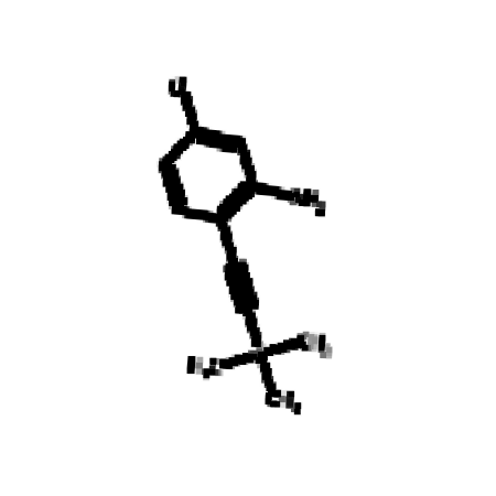 CS(C)(C)C#Cc1ccc(Cl)cc1N